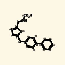 O=C(O)NCc1ncc(Sc2cnc(-c3ccccc3)nc2)s1